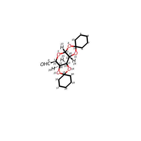 O=C[C@H]1O[C@@H]2OC3(CCCCC3)O[C@@H]2[C@H]2OC3(CCCCC3)O[C@H]21